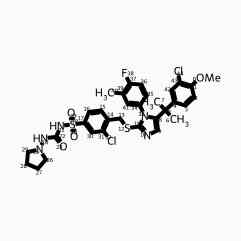 COc1ccc(C(C)(C)c2cnc(SCc3ccc(S(=O)(=O)NC(=O)NN4CCCC4)cc3Cl)n2-c2ccc(F)c(C)c2)cc1Cl